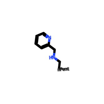 CCCCCCNCc1ccccn1